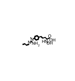 C=C/C=C\N=C(/N)N(C)c1ccc(/C=C/CC(NO)C(=O)O)cc1